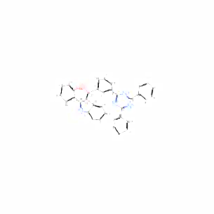 c1ccc(-c2nc(-c3ccccc3)nc(-c3cccc(-c4oc5ccccc5c5nc6ccccc6c4-5)c3)n2)cc1